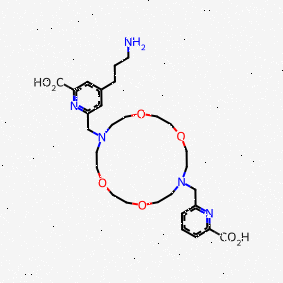 NCCCc1cc(CN2CCOCCOCCN(Cc3cccc(C(=O)O)n3)CCOCCOCC2)nc(C(=O)O)c1